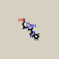 N=C/C(=C\NC1CC1CCO)c1cnc2ccccc2n1